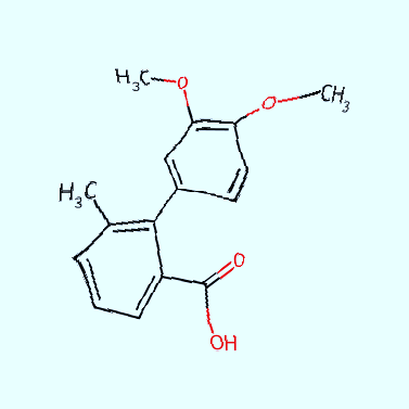 COc1ccc(-c2c(C)cccc2C(=O)O)cc1OC